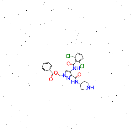 O=C(OCn1cc(NC(=O)c2c(Cl)cccc2Cl)c(C(=O)NC2CCNCC2)n1)c1ccccc1